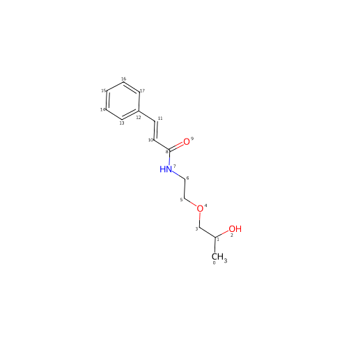 CC(O)COCCNC(=O)/C=C/c1ccccc1